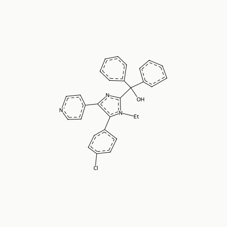 CCn1c(C(O)(c2ccccc2)c2ccccc2)nc(-c2ccncc2)c1-c1ccc(Cl)cc1